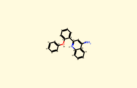 Nc1cc(-c2ccccc2Oc2ccccc2)nc2ccccc12